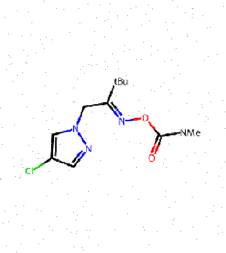 CNC(=O)ON=C(Cn1cc(Cl)cn1)C(C)(C)C